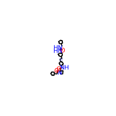 O=C(NCc1ccccc1)Nc1ccc(/C=C/c2ccc(NC(=O)[C@@H]3CCCN3C(=O)Cc3ccccc3)cc2)cc1